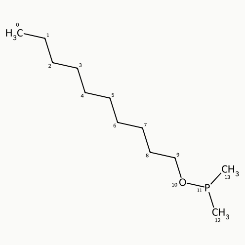 CCCCCCCCCCOP(C)C